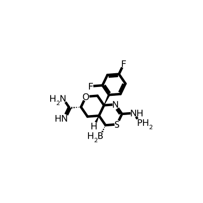 B[C@H]1SC(NP)=N[C@@]2(c3ccc(F)cc3F)CO[C@@H](C(=N)N)C[C@@H]12